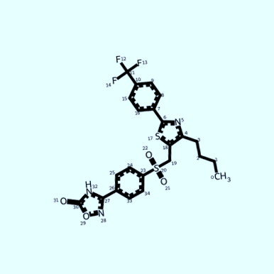 CCCCc1nc(-c2ccc(C(F)(F)F)cc2)sc1CS(=O)(=O)c1ccc(-c2noc(=O)[nH]2)cc1